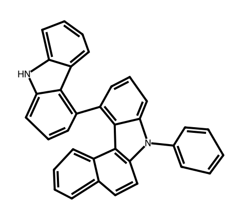 c1ccc(-n2c3cccc(-c4cccc5[nH]c6ccccc6c45)c3c3c4ccccc4ccc32)cc1